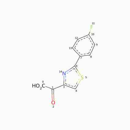 O=C(O)C(=O)c1csc(-c2ccc(F)cc2)n1